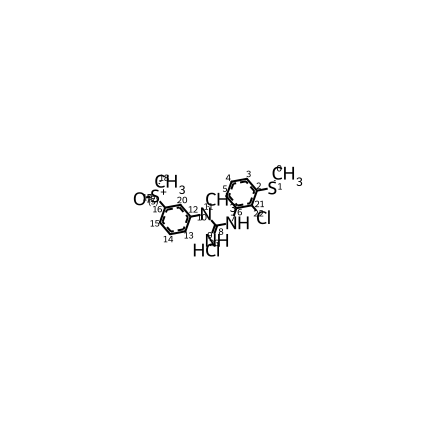 CSc1cccc(NC(=N)N(C)c2cccc([S@@+](C)[O-])c2)c1Cl.Cl